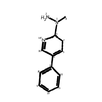 CN(N)C1CC=C(c2ccccc2)C=N1